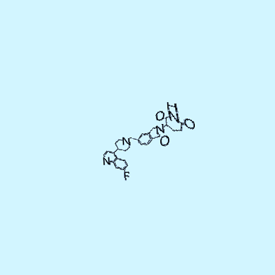 O=C1CCC(N2Cc3cc(CN4CCC(c5ccnc6cc(F)ccc56)CC4)ccc3C2=O)C(=O)N1